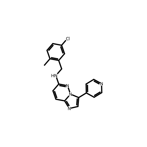 Cc1ccc(Cl)cc1CNc1ccc2ncc(-c3ccncc3)n2n1